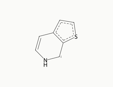 [C]1NC=Cc2ccsc21